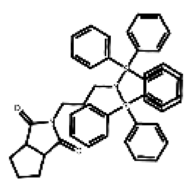 O=C1C2CCCC2C(=O)N1CCCN([Si](c1ccccc1)(c1ccccc1)c1ccccc1)[Si](c1ccccc1)(c1ccccc1)c1ccccc1